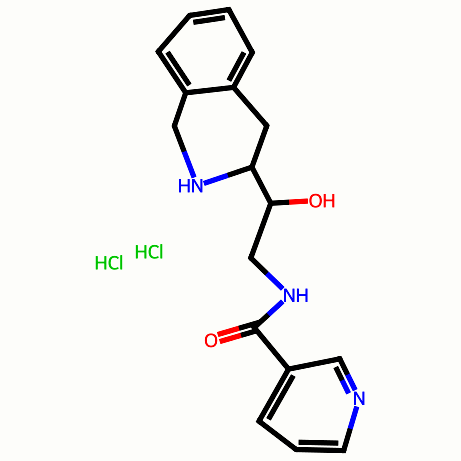 Cl.Cl.O=C(NCC(O)C1Cc2ccccc2CN1)c1cccnc1